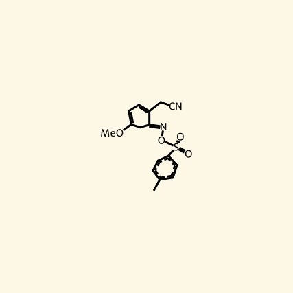 COC1=CC=C(CC#N)C(=NOS(=O)(=O)c2ccc(C)cc2)C1